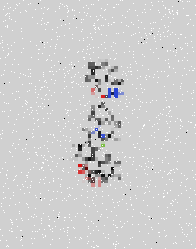 CC(NC(=O)c1ccc2c(c1)CCCN2Cc1cccc(-c2ccccc2C(=O)O)c1F)c1ccccc1